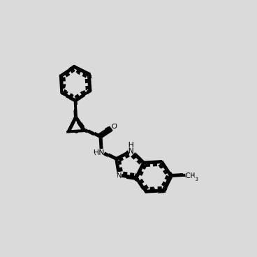 Cc1ccc2nc(NC(=O)C3CC3c3ccccc3)[nH]c2c1